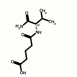 CC(C)[C@H](NC(=O)CCCC(=O)O)C(N)=O